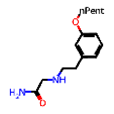 CCCCCOc1cccc(CCNCC(N)=O)c1